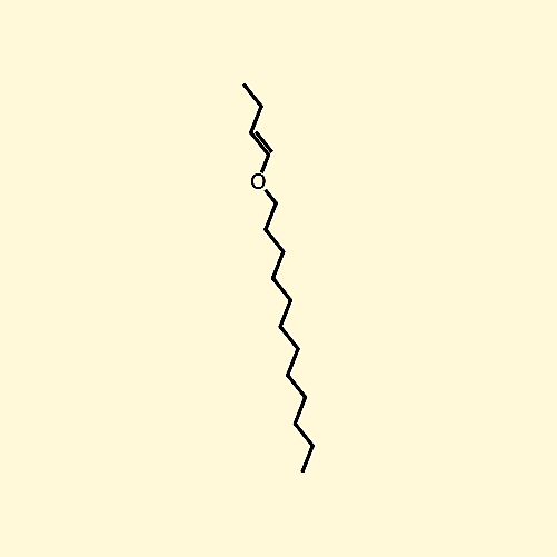 CCC=COCCCCCCCCCCCC